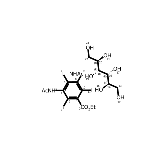 CCOC(=O)c1c(I)c(NC(C)=O)c(I)c(NC(C)=O)c1I.OC[C@@H](O)[C@@H](O)[C@H](O)[C@H](O)CO